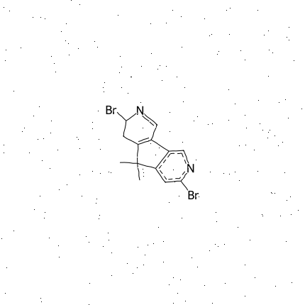 CC1(C)C2=C(C=NC(Br)C2)c2cnc(Br)cc21